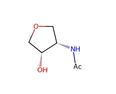 CC(=O)N[C@H]1COC[C@H]1O